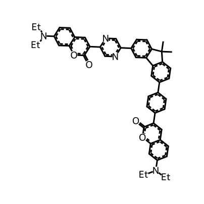 CCN(CC)c1ccc2cc(-c3ccc(-c4ccc5c(c4)-c4cc(-c6cnc(-c7cc8ccc(N(CC)CC)cc8oc7=O)cn6)ccc4C5(C)C)cc3)c(=O)oc2c1